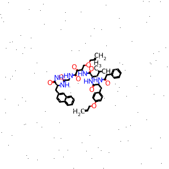 C=CCOCC(NC(=O)C(CC(C)C)NC(=O)C(Cc1ccc(OCC=C)cc1)NC(=O)Cc1ccccc1)C(=O)C(=O)NCC(=O)NC(Cc1ccc2ccccc2c1)C(N)=O